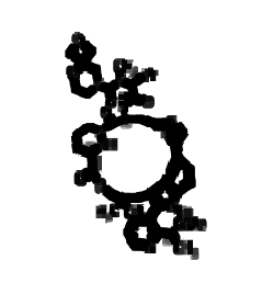 CCn1c(-c2cccnc2[C@H](C)OC)c2c3cc(ccc31)-c1csc(n1)C[C@H](NC(=O)C(C(C)C)N(C)C(=O)N1CCOC3(COC3)C1)C(=O)N1CCC[C@H](N1)C(=O)OCC(C)(C)C2